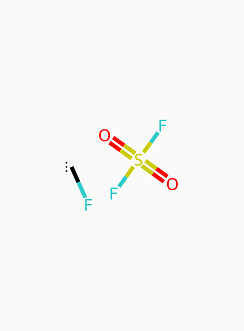 O=S(=O)(F)F.[C]F